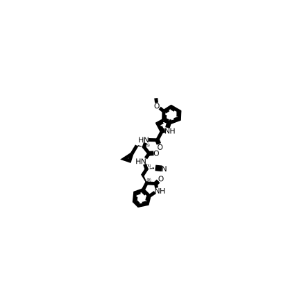 COc1cccc2[nH]c(C(=O)N[C@@H](CC3CC3)C(=O)N[C@H](C#N)C[C@H]3C(=O)Nc4ccccc43)cc12